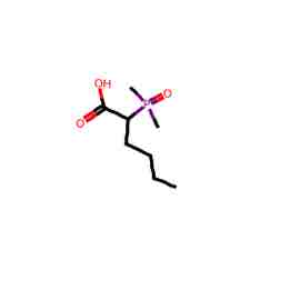 CCCCC(C(=O)O)P(C)(C)=O